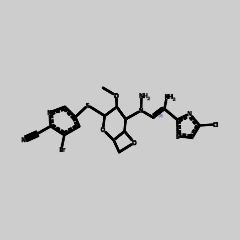 COC1C(Sc2cnc(C#N)c(Br)c2)OC2COC2C1N(N)/C=C(\N)c1nc(Cl)cs1